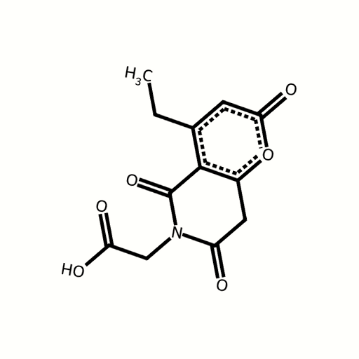 CCc1cc(=O)oc2c1C(=O)N(CC(=O)O)C(=O)C2